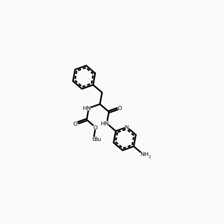 CC(C)(C)OC(=O)NC(Cc1ccccc1)C(=O)Nc1ccc(N)cn1